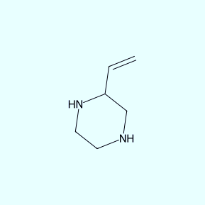 C=CC1CNCCN1